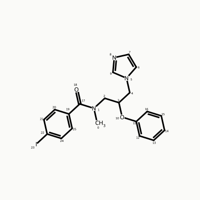 CN(CC(Cn1ccnc1)Oc1ccccc1)C(=O)c1ccc(I)cc1